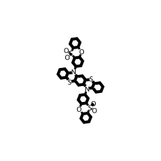 O=S1(=O)c2ccccc2Oc2ccc(-n3c4ccccc4sc4cc5c(cc43)sc3ccccc3n5-c3ccc4c(c3)S(=O)(=O)c3ccccc3O4)cc21